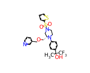 C[C@@](O)(c1ccc(N2CCN(S(=O)(=O)c3cccs3)C[C@H]2COCc2cccnc2)cc1)C(F)(F)F